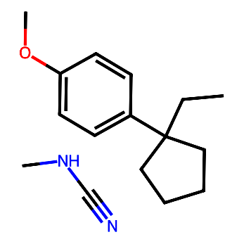 CCC1(c2ccc(OC)cc2)CCCC1.CNC#N